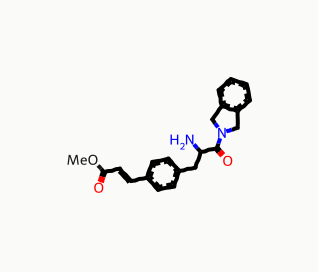 COC(=O)C=Cc1ccc(CC(N)C(=O)N2Cc3ccccc3C2)cc1